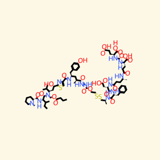 CCCC(=O)OCN(C(=O)[C@@H](NC(=O)[C@H]1CCCCN1C)C(C)CC)[C@H](C[C@@H](O)c1nc(C(=O)N[C@@H](Cc2ccc(O)cc2)C[C@H](C)C(=O)NNC(=O)OCCSSC[C@H](C)NC(=O)[C@@H](Cc2ccccc2)NC(=O)[C@H](CC(=O)O)NC(=O)CC[C@@H](C)NC(=O)CC[C@H](NC(=O)N[C@@H](CCC(=O)O)C(=O)O)C(=O)O)cs1)C(C)C